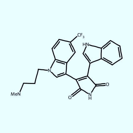 CNCCCn1cc(C2=C(c3c[nH]c4ccccc34)C(=O)NC2=O)c2cc(C(F)(F)F)ccc21